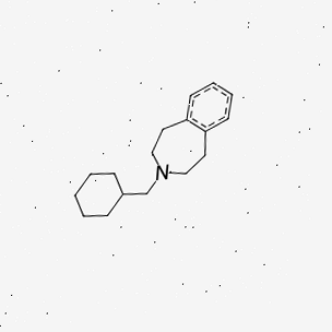 c1ccc2c(c1)CCN(CC1CCCCC1)CC2